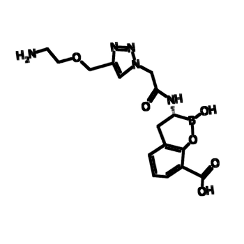 NCCOCc1cn(CC(=O)N[C@H]2Cc3cccc(C(=O)O)c3OB2O)nn1